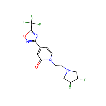 O=c1cc(-c2noc(C(F)(F)F)n2)ccn1CCN1C[C@H](F)[C@@H](F)C1